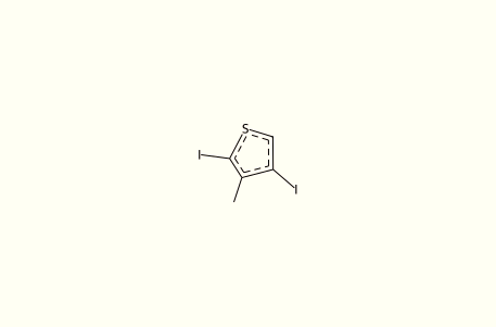 Cc1c(I)csc1I